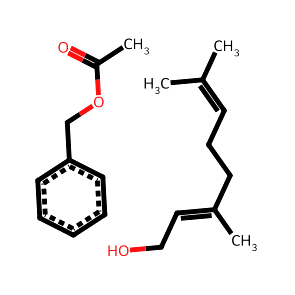 CC(=O)OCc1ccccc1.CC(C)=CCCC(C)=CCO